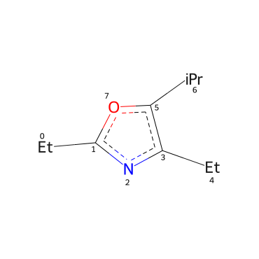 CCc1nc(CC)c(C(C)C)o1